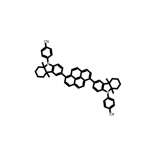 CC12CCCCC1(C)N(c1ccc(C#N)cc1)c1ccc(-c3ccc4ccc5c(-c6ccc7c(c6)C6(C)CCCCC6(C)N7c6ccc(C#N)cc6)ccc6ccc3c4c65)cc12